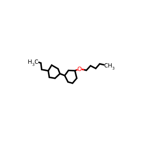 CCCCCOC1CCCC(C2CCC(CCC)CC2)C1